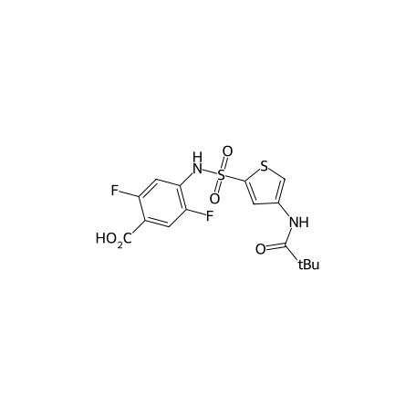 CC(C)(C)C(=O)Nc1csc(S(=O)(=O)Nc2cc(F)c(C(=O)O)cc2F)c1